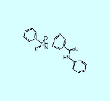 O=C(Nc1ccccc1)c1cccc(NS(=O)(=O)c2ccccc2)c1